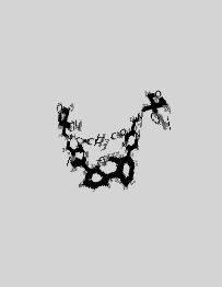 COc1nc(-c2cccc(-c3cccc(-c4cnc(CNCC5(O)COC5)c(OC)n4)c3Cl)c2Cl)cnc1CNCC1(O)COC1